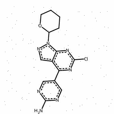 Nc1ncc(-c2nc(Cl)nc3c2cnn3C2CCCCO2)cn1